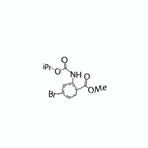 COC(=O)c1ccc(Br)cc1NC(=O)OC(C)C